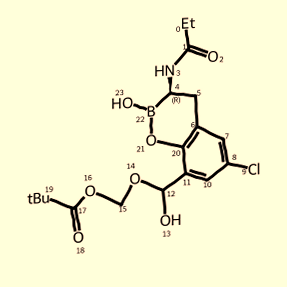 CCC(=O)N[C@H]1Cc2cc(Cl)cc(C(O)OCOC(=O)C(C)(C)C)c2OB1O